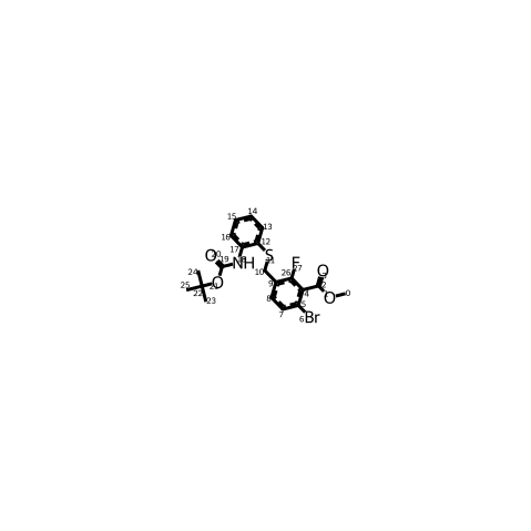 COC(=O)c1c(Br)ccc(CSc2ccccc2NC(=O)OC(C)(C)C)c1F